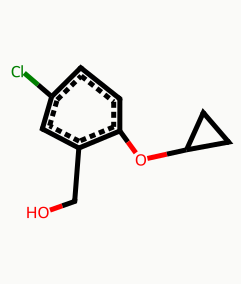 OCc1cc(Cl)ccc1OC1CC1